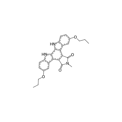 CCCOc1ccc2[nH]c3c4[nH]c5ccc(OCCC)cc5c4c4c(c3c2c1)C(=O)N(C)C4=O